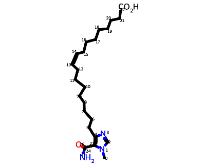 Cn1cnc(CCCCCCCC/C=C\CCCCCCCC(=O)O)c1C(N)=O